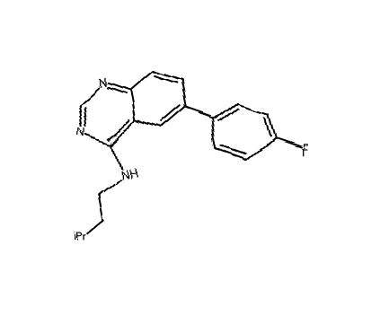 CC(C)CCNc1ncnc2ccc(-c3ccc(F)cc3)cc12